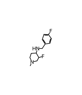 CN1CCC(NCc2ccc(F)cc2)C(F)C1